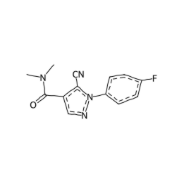 CN(C)C(=O)c1cnn(-c2ccc(F)cc2)c1C#N